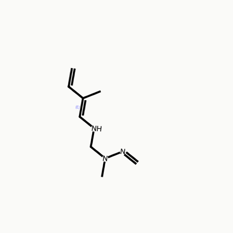 C=C/C(C)=C/NCN(C)N=C